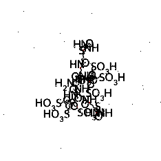 NC1CC(NC(=O)C(CCCCNC(=O)CCCCC2SCC3NC(=O)NC32)NC(=O)c2cc(OCCCS(=O)(=O)O)c(OCCCS(=O)(=O)O)c(OCCCS(=O)(=O)O)c2)CC(NC(=O)C(CCCCNC(=O)CCCCC2SCC3NC(=O)NC32)NC(=O)c2cc(OCCCS(=O)(=O)O)c(OCCCS(=O)(=O)O)c(OCCCS(=O)(=O)O)c2)C1